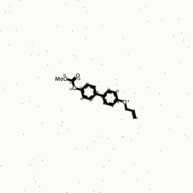 C=CCOc1ccc(-c2ccc(OC(=O)OC)cc2)cc1